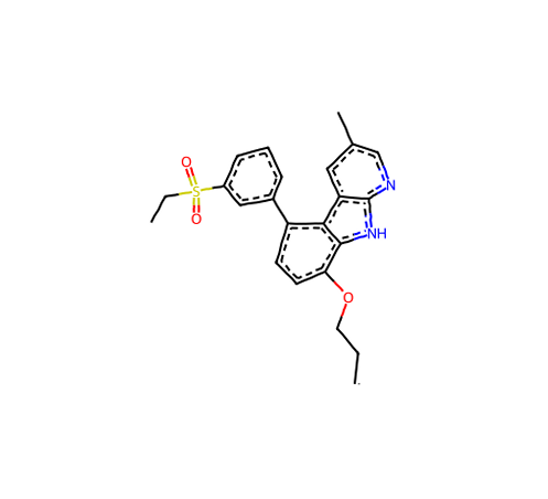 [CH2]CCOc1ccc(-c2cccc(S(=O)(=O)CC)c2)c2c1[nH]c1ncc(C)cc12